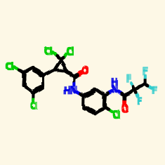 O=C(Nc1ccc(Cl)c(NC(=O)C(F)(F)C(F)F)c1)C1C(c2cc(Cl)cc(Cl)c2)C1(Cl)Cl